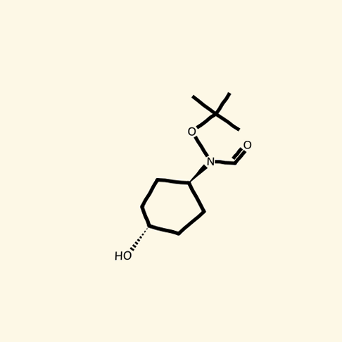 CC(C)(C)ON(C=O)[C@H]1CC[C@H](O)CC1